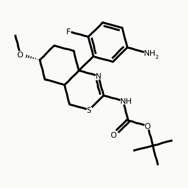 CO[C@@H]1CCC2(c3cc(N)ccc3F)N=C(NC(=O)OC(C)(C)C)SCC2C1